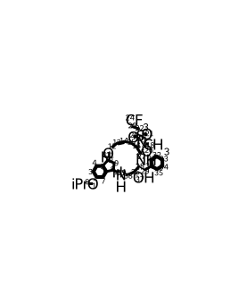 CC(C)Oc1ccc2c(c1)[C@@H]1C[C@H]2OCC=CC[C@H](N(C)S(=O)(=O)CCC(F)(F)F)C(=O)N[C@@H](Cc2ccccc2)[C@H](O)CN1